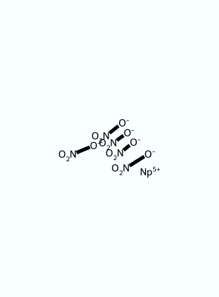 O=[N+]([O-])[O-].O=[N+]([O-])[O-].O=[N+]([O-])[O-].O=[N+]([O-])[O-].O=[N+]([O-])[O-].[Np+5]